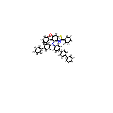 c1ccc(-c2ccc(-c3ccc(N(c4ccc(-c5ccccc5)cc4)c4c5nc(-c6ccccc6)sc5cc5oc6ccccc6c45)cc3)cc2)cc1